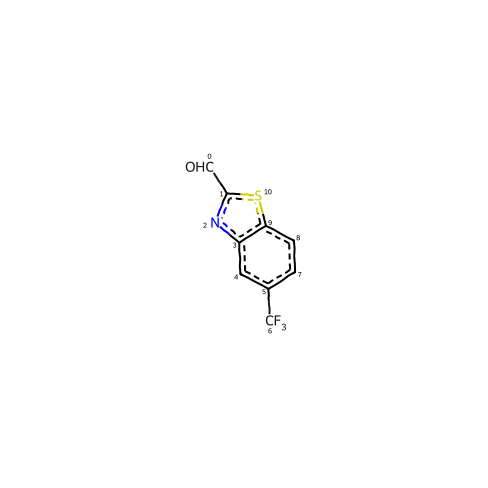 O=Cc1nc2cc(C(F)(F)F)ccc2s1